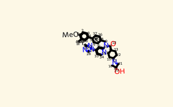 COc1ccc(C23CCC(CN(C(=O)C4CCC(N5CC(O)C5)CC4)c4cc(-n5cnc(C(C)C)n5)ccn4)(CC2)CC3)cc1C